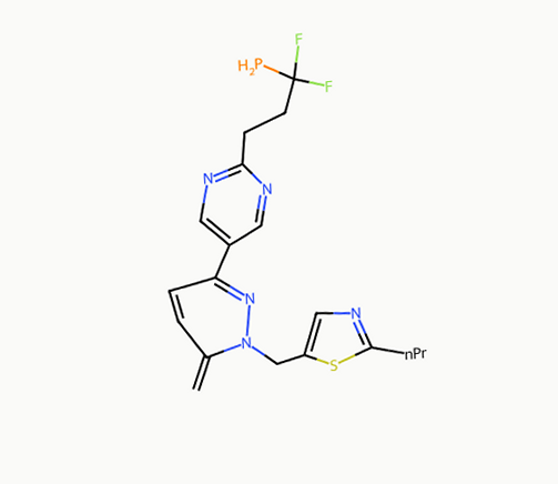 C=C1C=CC(c2cnc(CCC(F)(F)P)nc2)=NN1Cc1cnc(CCC)s1